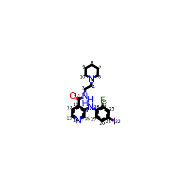 O=C(NCCN1CCCCC1)c1ccncc1Nc1ccc(I)cc1F